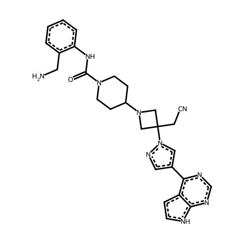 N#CCC1(n2cc(-c3ncnc4[nH]ccc34)cn2)CN(C2CCN(C(=O)Nc3ccccc3CN)CC2)C1